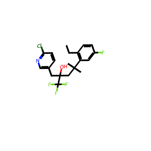 CCc1ccc(F)cc1C(C)(C)CC(O)(Cc1ccc(Cl)nc1)C(F)(F)F